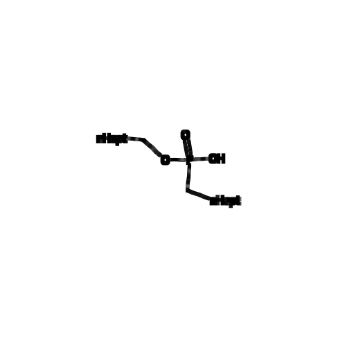 CCCCCCCCOP(=O)(O)CCCCCCCC